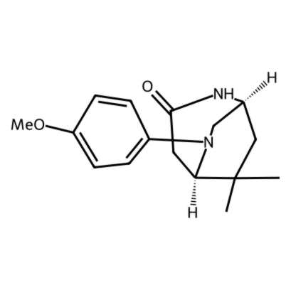 COc1ccc(N2C[C@@H]3CC(C)(C)[C@H]2CC(=O)N3)cc1